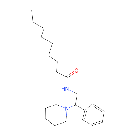 CCCCCCCCC(=O)NCC(c1ccccc1)N1CCCCC1